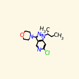 CC[C@@H](C)n1nc(N2CCOCC2)c2cnc(Cl)cc21